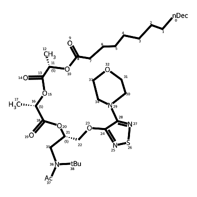 CCCCCCCCCCCCCCCCCC(=O)O[C@@H](C)C(=O)O[C@@H](C)C(=O)O[C@H](COc1nsnc1N1CCOCC1)CN(C(C)=O)C(C)(C)C